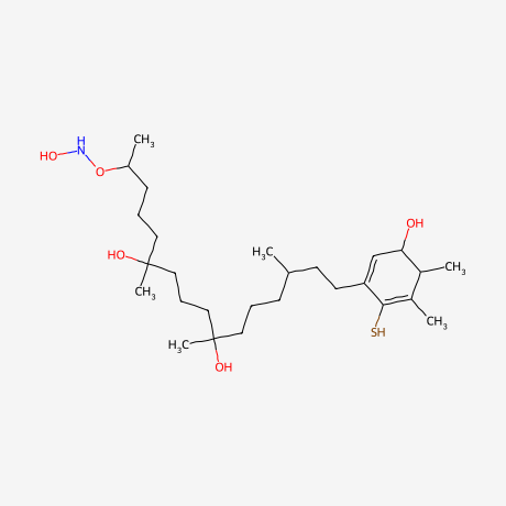 CC1=C(S)C(CCC(C)CCCC(C)(O)CCCC(C)(O)CCCC(C)ONO)=CC(O)C1C